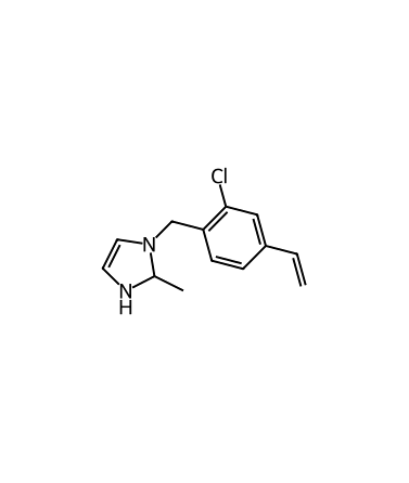 C=Cc1ccc(CN2C=CNC2C)c(Cl)c1